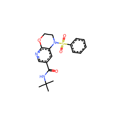 CC(C)(C)NC(=O)c1cnc2c(c1)N(S(=O)(=O)c1ccccc1)CCO2